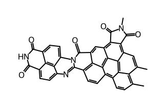 Cc1ccc2c3ccc4c5c(cc6c7c(=O)n(C)c(=O)c7c7cc(C)c1c2c7c6c35)c(=O)n1c2ccc3c(=O)[nH]c(=O)c5ccc(nc41)c2c53